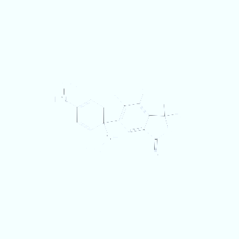 CCCCNC1=CCC(NCCCC)(c2cc3c(c(Cl)c2Cl)C(Cl)(Cl)OC3=O)C=C1